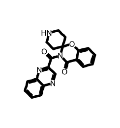 O=C(c1cnc2ccccc2n1)N1C(=O)c2ccccc2OC12CCNCC2